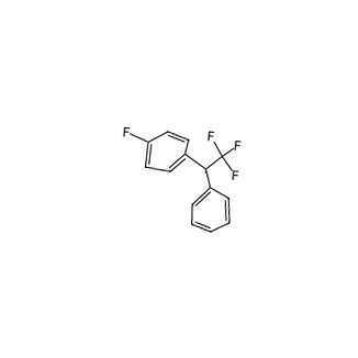 Fc1ccc([C](c2ccccc2)C(F)(F)F)cc1